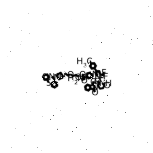 Cc1ccc(-c2cc(C(F)(F)F)nn2-c2ccc(S(N)(=O)=O)cc2)cc1.O=C1CCC(N2C(=O)c3ccccc3C2=O)C(=O)N1.OCCOCCN1CCN(C2=Nc3ccccc3Sc3ccccc32)CC1